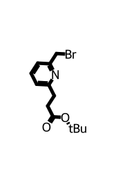 CC(C)(C)OC(=O)CCc1cccc(CBr)n1